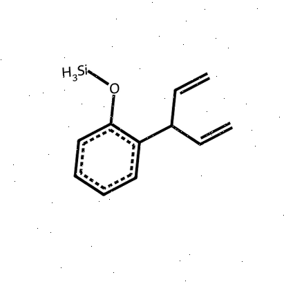 C=CC(C=C)c1ccccc1O[SiH3]